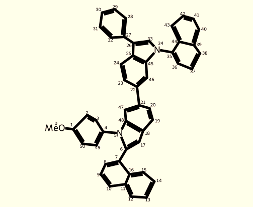 COc1ccc(-n2c(-c3cccc4ccccc34)cc3ccc(-c4ccc5c(-c6ccccc6)cn(-c6cccc7ccccc67)c5c4)cc32)cc1